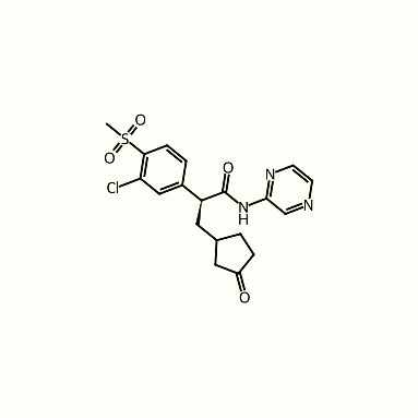 CS(=O)(=O)c1ccc([C@H](CC2CCC(=O)C2)C(=O)Nc2cnccn2)cc1Cl